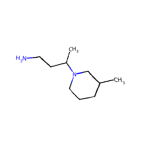 CC1CCCN(C(C)CCN)C1